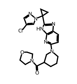 O=C(C1CCCN(c2ccc3nc(C4(n5cc(Cl)cn5)CC4)[nH]c3n2)C1)N1CCOCC1